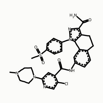 CN1CCN(c2cc(C(=O)Nc3ccc4c(c3)-c3c(c(C(N)=O)nn3-c3ccc(S(C)(=O)=O)cc3)CC4)c(Cl)cn2)CC1